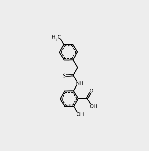 Cc1ccc(CC(=S)Nc2cccc(O)c2C(=O)O)cc1